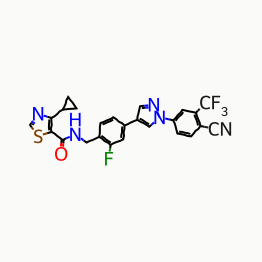 N#Cc1ccc(-n2cc(-c3ccc(CNC(=O)c4scnc4C4CC4)c(F)c3)cn2)cc1C(F)(F)F